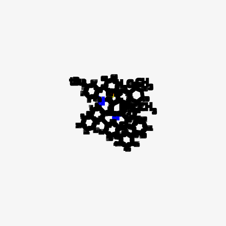 CC(C)(C)c1ccc(N2c3cc4ccccc4c4c3B(c3c2sc2cc5c(cc32)C(C)(C)CCC5(C)C)N2c3ccccc3[Si](c3ccccc3)(c3ccccc3)c3cccc-4c32)c(-c2ccccc2)c1